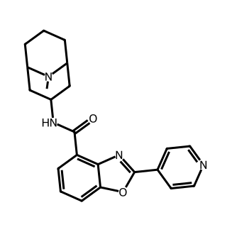 CN1C2CCCC1CC(NC(=O)c1cccc3oc(-c4ccncc4)nc13)C2